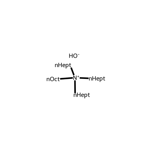 CCCCCCCC[N+](CCCCCCC)(CCCCCCC)CCCCCCC.[OH-]